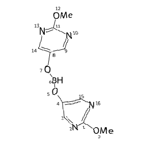 COc1ncc(OBOc2cnc(OC)nc2)cn1